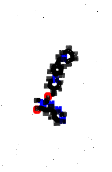 Cn1c(OCC2CCN(c3ccc(CN4CCCCC4)cc3)CC2)nc(-c2ccncn2)cc1=O